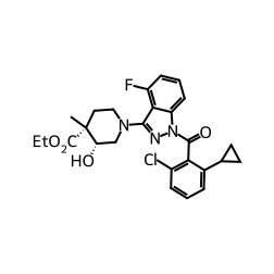 CCOC(=O)[C@]1(C)CCN(c2nn(C(=O)c3c(Cl)cccc3C3CC3)c3cccc(F)c23)C[C@@H]1O